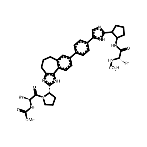 COC(=O)N[C@H](C(=O)N1CCC[C@H]1c1nc2c([nH]1)-c1ccc(-c3ccc(-c4cnc(C5CCCC5NC(=O)[C@@H](NC(=O)O)C(C)C)[nH]4)cc3)cc1CCC2)C(C)C